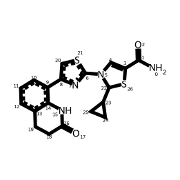 NC(=O)C1=CN(c2nc(-c3cccc4c3NC(=O)CC4)cs2)C(C2CC2)S1